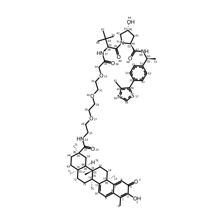 CC1=C(O)C(=O)C=C2C1=CC=C1[C@@]2(C)CC[C@@]2(C)[C@@H]3C[C@](C)(C(=O)NCCOCCOCCOCC(=O)N[C@H](C(=O)N4C[C@H](O)C[C@H]4C(=O)N[C@@H](C)c4ccc(-c5scnc5C)cc4)C(C)(C)C)CC[C@]3(C)CC[C@]12C